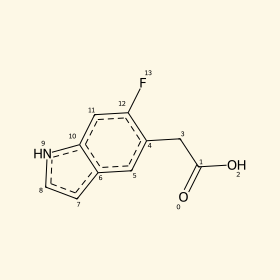 O=C(O)Cc1cc2cc[nH]c2cc1F